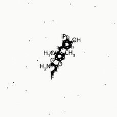 Cc1cc(OC(CCF)C(N)=O)cc(C)c1Cc1ccc(O)c(C(C)C)c1